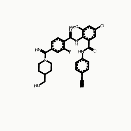 C#Cc1ccc(NC(=O)c2cc(Cl)cc(OC)c2NC(=O)c2ccc(C(=N)N3CCC(CO)CC3)cc2F)cc1